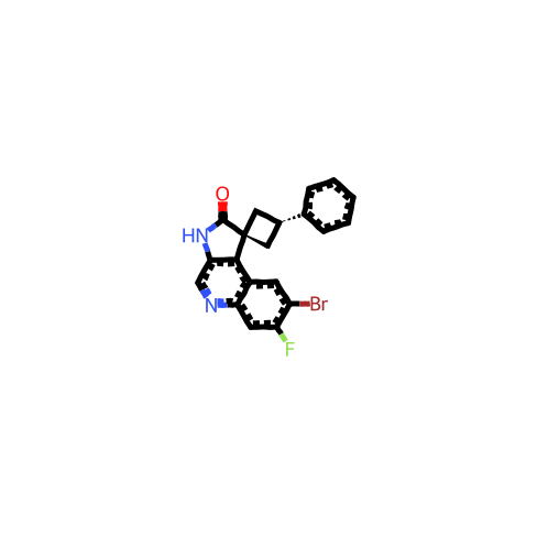 O=C1Nc2cnc3cc(F)c(Br)cc3c2[C@]12C[C@@H](c1ccccc1)C2